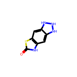 O=c1[nH]c2cc3c(cc2s1)NNN3